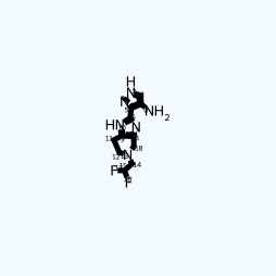 Nc1c[nH]nc1-c1nc2c([nH]1)CCN(CC(F)F)C2